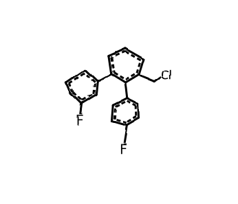 Fc1ccc(-c2c(CCl)cccc2-c2cccc(F)c2)cc1